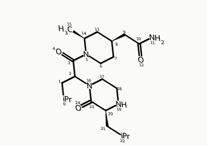 CC(C)CC(C(=O)N1CC[C@H](CC(N)=O)C[C@@H]1C)N1CCN[C@@H](CC(C)C)C1=O